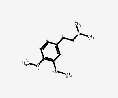 COc1ccc(CCN(C)C)cc1OC